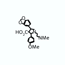 CNCCN1CC(c2ccc3c(c2)OCO3)C(C(=O)O)C1c1ccc(OC)cc1